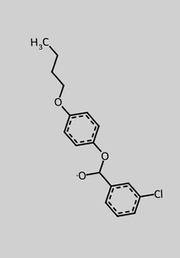 CCCCOc1ccc(OC([O])c2cccc(Cl)c2)cc1